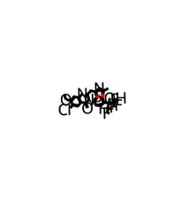 COc1cc2nc(Cc3nc(C)cs3)n(-c3ccc(C(O)(C(F)(F)F)C(F)(F)F)cc3)c(=O)c2cc1Cl